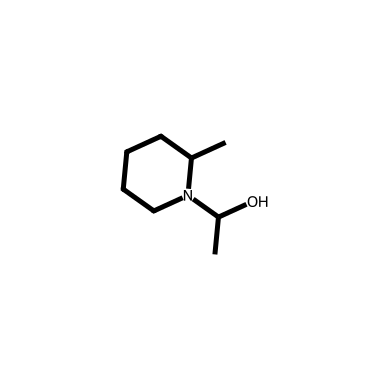 CC(O)N1CCCCC1C